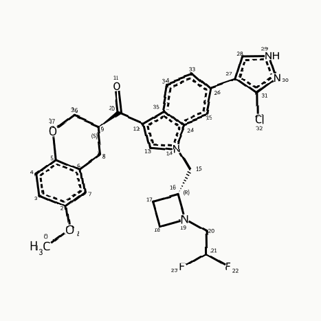 COc1ccc2c(c1)C[C@H](C(=O)c1cn(C[C@H]3CCN3CC(F)F)c3cc(-c4c[nH]nc4Cl)ccc13)CO2